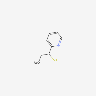 CC(=O)OCC(S)c1ccccn1